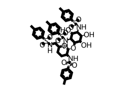 Cc1ccc(S(=O)(=O)NCC2CCC(NS(=O)(=O)c3ccc(C)cc3)[C@@H](OC3C(O)[C@@H](O)[C@H](NS(=O)(=O)c4ccc(C)cc4)C(O)[C@@H]3NS(=O)(=O)c3ccc(C)cc3)O2)cc1